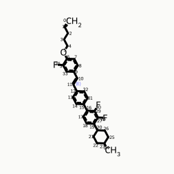 C=CCCCOc1ccc(/C=C/c2ccc(-c3ccc(C4CCC(C)CC4)c(F)c3F)cc2)cc1F